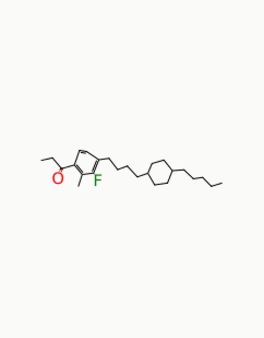 CCCCCC1CCC(CCCCc2ccc(C(=O)CC)c(C)c2F)CC1